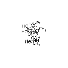 Cc1cc(CCNC(=O)NC(C)(CO)CO)ccc1Cc1c(O[C@@H]2O[C@H](CO)[C@@H](O)[C@H](O)[C@H]2O)n[nH]c1C(C)C